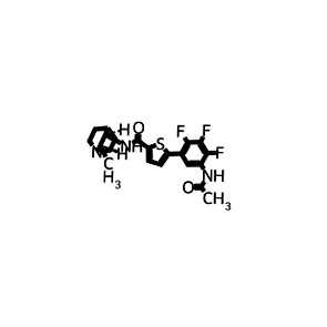 CC(=O)Nc1cc(-c2ccc(C(=O)N[C@@H]3C4CCN(CC4)[C@H]3C)s2)c(F)c(F)c1F